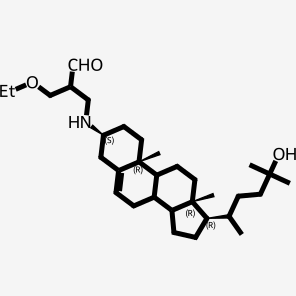 CCOCC(C=O)CN[C@H]1CC[C@@]2(C)C(=CCC3C2CC[C@@]2(C)C3CC[C@@H]2C(C)CCC(C)(C)O)C1